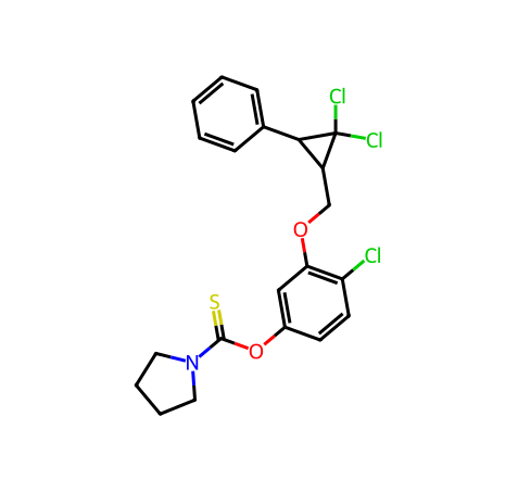 S=C(Oc1ccc(Cl)c(OCC2C(c3ccccc3)C2(Cl)Cl)c1)N1CCCC1